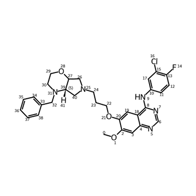 COc1cc2ncnc(Nc3ccc(F)c(Cl)c3)c2cc1OCCCN1CC2OCCN(Cc3ccccc3)[C@H]2C1